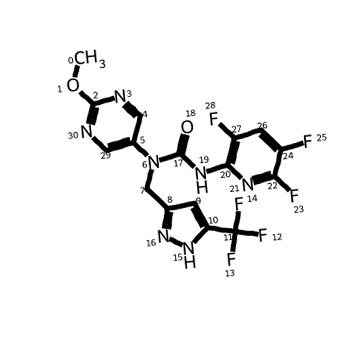 COc1ncc(N(Cc2cc(C(F)(F)F)[nH]n2)C(=O)Nc2nc(F)c(F)cc2F)cn1